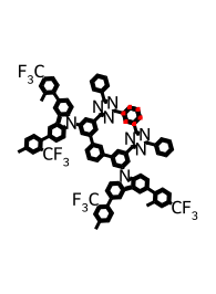 Cc1ccc(-c2ccc3c(c2)c2cc(-c4ccc(C(F)(F)F)cc4C)ccc2n3-c2cc(-c3cccc(-c4cc(-c5nc(-c6ccccc6)nc(-c6ccccc6)n5)cc(-n5c6ccc(-c7ccc(C(F)(F)F)cc7C)cc6c6cc(-c7ccc(C)cc7C(F)(F)F)ccc65)c4)c3)cc(-c3nc(-c4ccccc4)nc(-c4ccccc4)n3)c2)c(C(F)(F)F)c1